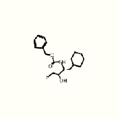 O=C(N[C@@H](CC1CCCCC1)[C@@H](O)CI)OCc1ccccc1